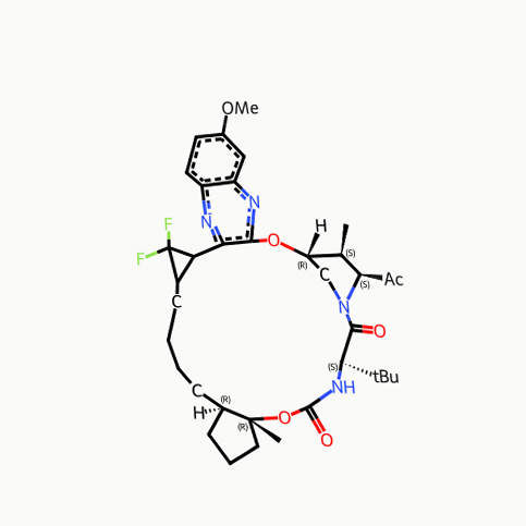 COc1ccc2nc3c(nc2c1)O[C@H]1CN(C(=O)[C@H](C(C)(C)C)NC(=O)O[C@]2(C)CCC[C@H]2CCCCC2C3C2(F)F)[C@H](C(C)=O)[C@@H]1C